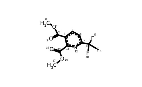 COC(=O)c1ccc(C(F)(F)F)nc1C(=O)OC